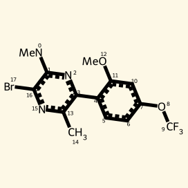 CNc1nc(-c2ccc(OC(F)(F)F)cc2OC)c(C)nc1Br